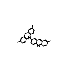 Cc1ccc2c(c1)Cc1cc(C)ccc1N2c1ccc2nc3ccc(C)cc3cc2c1